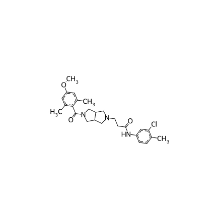 COc1cc(C)c(C(=O)N2CC3CN(CCC(=O)Nc4ccc(C)c(Cl)c4)CC3C2)c(C)c1